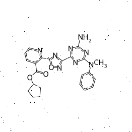 CN(c1ccccc1)c1nc(N)nc(-c2noc(-c3ncccc3C(=O)OC3CCCC3)n2)n1